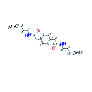 COCCCNC(=O)Cc1ccc(CC(=O)NCCCOC)cc1